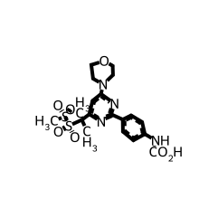 CC(C)(c1cc(N2CCOCC2)nc(-c2ccc(NC(=O)O)cc2)n1)S(=O)(=O)S(C)(=O)=O